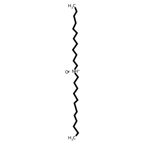 CCCCCCCCCCCC[NH+]([O-])CCCCCCCCCCCC